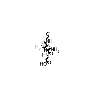 COCCNC(=O)c1nc(N)c(C(=O)NCCC(=O)O)nc1N